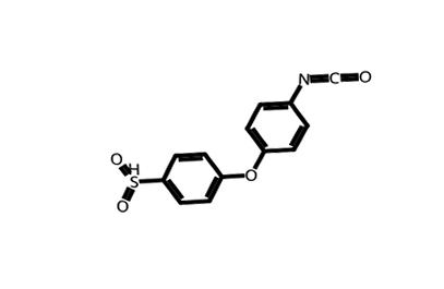 O=C=Nc1ccc(Oc2ccc([SH](=O)=O)cc2)cc1